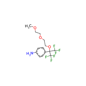 COCCOCCOC(c1ccc(N)cc1)(C(F)(F)F)C(F)(F)F